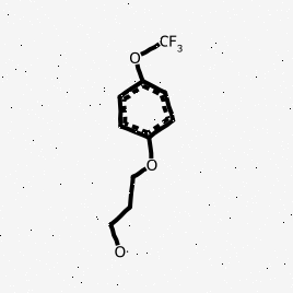 [O]CCCOc1ccc(OC(F)(F)F)cc1